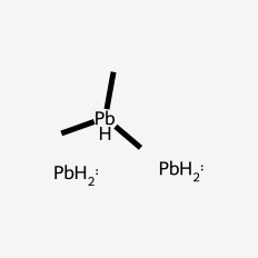 [CH3][PbH]([CH3])[CH3].[PbH2].[PbH2]